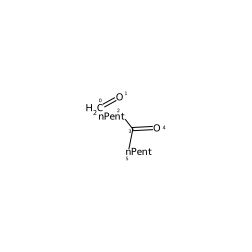 C=O.CCCCCC(=O)CCCCC